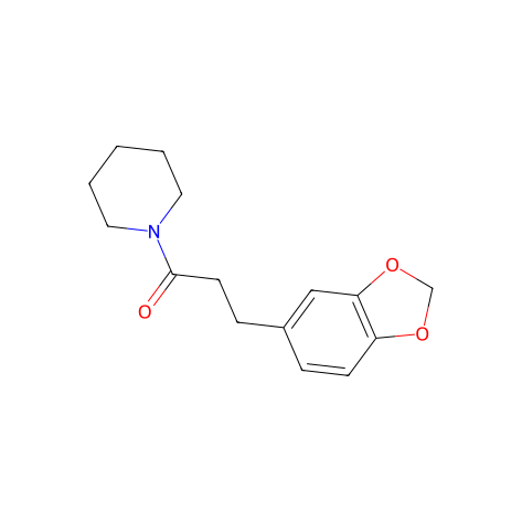 O=C(CCc1ccc2c(c1)OCO2)N1CCCCC1